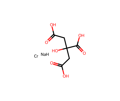 O=C(O)CC(O)(CC(=O)O)C(=O)O.[Cr].[NaH]